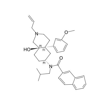 C=CCN1CC[C@@]2(c3cccc(OC)c3)C[C@H](N(CC(C)C)C(=O)c3ccc4ccccc4c3)CC[C@]2(O)C1